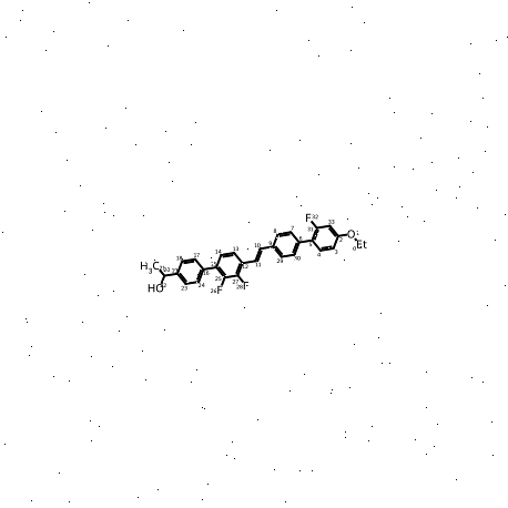 CCOc1ccc(-c2ccc(/C=C/c3ccc(-c4ccc(C(C)O)cc4)c(F)c3F)cc2)c(F)c1